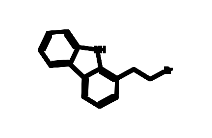 BrCCc1cccc2c1[nH]c1ccccc12